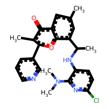 Cc1cc(C(C)Nc2ccc(Cl)nc2N(C)C)c2oc(-c3cccnc3)c(C)c(=O)c2c1